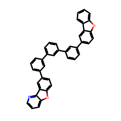 c1cc(-c2cccc(-c3ccc4oc5ccccc5c4c3)c2)cc(-c2cccc(-c3ccc4oc5cccnc5c4c3)c2)c1